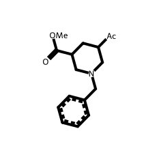 COC(=O)C1CC(C(C)=O)CN(Cc2ccccc2)C1